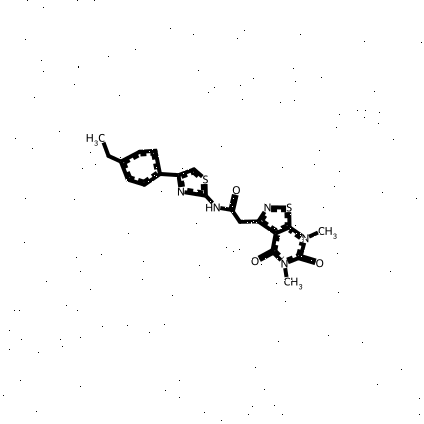 CCc1ccc(-c2csc(NC(=O)Cc3nsc4c3c(=O)n(C)c(=O)n4C)n2)cc1